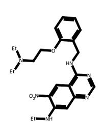 CCNc1cc2ncnc(NCc3ccccc3OCCN(CC)CC)c2cc1[N+](=O)[O-]